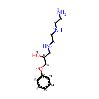 NCCNCCNCC(O)COc1ccccc1